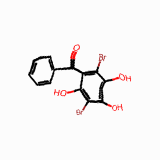 O=C(c1ccccc1)c1c(O)c(Br)c(O)c(O)c1Br